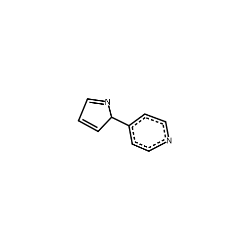 C1=CC(c2ccncc2)N=C1